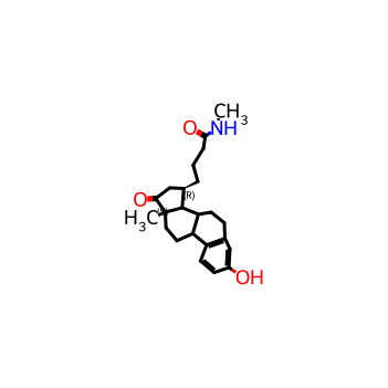 CNC(=O)CCC[C@@H]1CC(=O)[C@@]2(C)CCC3c4ccc(O)cc4CCC3C12